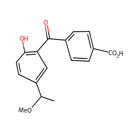 COC(C)c1ccc(O)c(C(=O)c2ccc(C(=O)O)cc2)c1